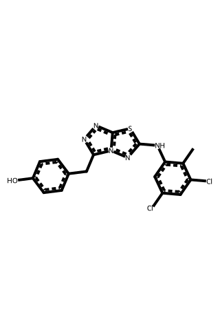 Cc1c(Cl)cc(Cl)cc1Nc1nn2c(Cc3ccc(O)cc3)nnc2s1